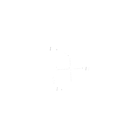 CO[Si](C)(CO)CO